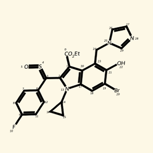 CCOC(=O)c1c(C(=S=O)c2ccc(F)cc2)n(C2CC2)c2cc(Br)c(O)c(Cn3ccnc3)c12